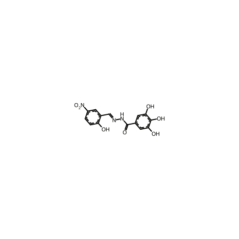 O=C(NN=Cc1cc([N+](=O)[O-])ccc1O)c1cc(O)c(O)c(O)c1